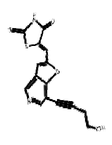 O=C1NC(=S)S/C1=C\c1cc2cncc(C#CCCO)c2o1